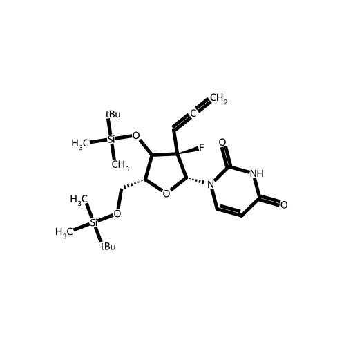 C=C=C[C@@]1(F)C(O[Si](C)(C)C(C)(C)C)[C@@H](CO[Si](C)(C)C(C)(C)C)O[C@H]1n1ccc(=O)[nH]c1=O